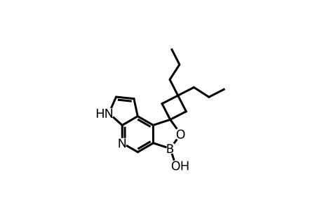 CCCC1(CCC)CC2(C1)OB(O)c1cnc3[nH]ccc3c12